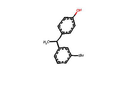 CC(c1ccc(O)cc1)c1cccc(C(C)(C)C)c1